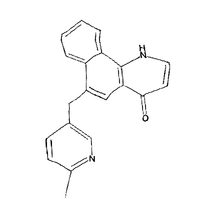 Cc1ccc(Cc2cc3c(=O)cc[nH]c3c3ccccc23)cn1